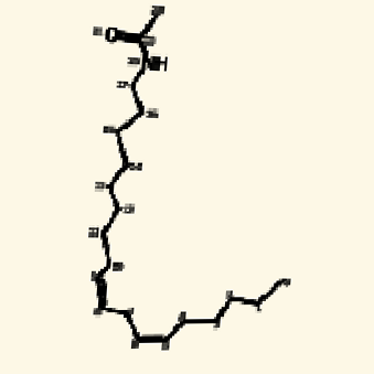 CCCCC/C=C\C/C=C\CCCCCCCCNC(C)=O